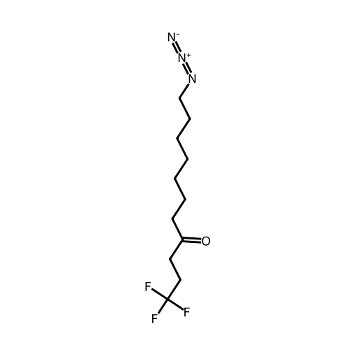 [N-]=[N+]=NCCCCCCCC(=O)CCC(F)(F)F